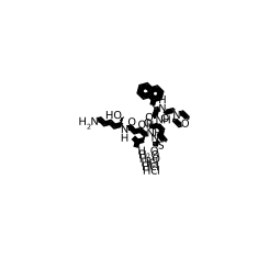 CC(C)C[C@H](NC(=O)C(Cc1cscn1)NC(=O)[C@H](Cc1cccc2ccccc12)NC(=O)CN1CCOCC1)[C@@H](O)CC(=O)N[C@H](CO)CCCCN.Cl.Cl.Cl.O.O.O